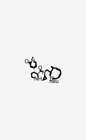 C=C1/C=C\C=C/CN(CCCC)/C=C\1CN(C(=O)[C@H]1CNCC[C@@H]1c1ccn(C)c(=O)c1)C1CC1